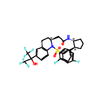 O=C(C[C@@H]1CCc2cc(C(O)(C(F)(F)F)C(F)(F)F)ccc2N1S(=O)(=O)c1ccc(F)cc1)N[C@@H]1CCC[C@H]1c1ccc(F)cc1